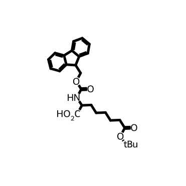 CC(C)(C)OC(=O)CCCCCC(NC(=O)OCC1c2ccccc2-c2ccccc21)C(=O)O